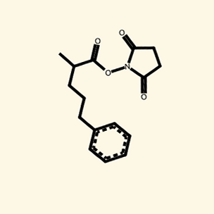 CC(CCCc1ccccc1)C(=O)ON1C(=O)CCC1=O